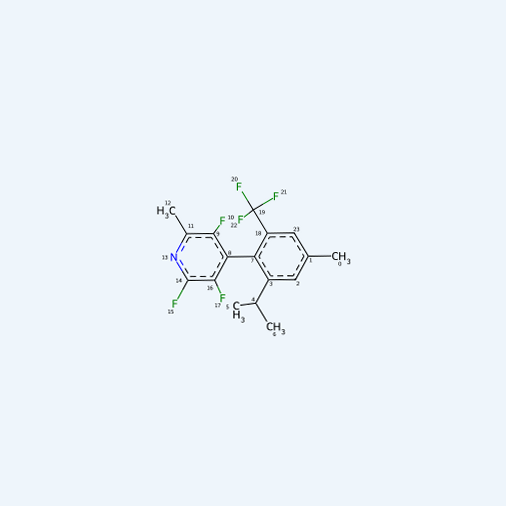 Cc1cc(C(C)C)c(-c2c(F)c(C)nc(F)c2F)c(C(F)(F)F)c1